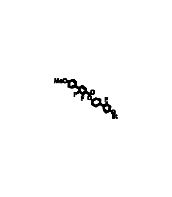 CCOc1ccc(C2CCC(OC(=O)c3ccc(-c4ccc(OC)cc4)c(F)c3F)CC2)c(F)c1